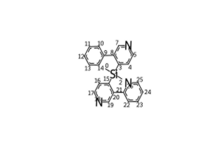 C[Si](C)(c1ccncc1-c1ccccc1)c1ccncc1-c1ccccn1